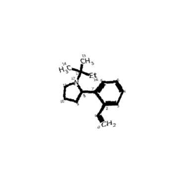 C=Cc1ccccc1C1CCCN1C(C)(C)CC